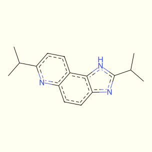 CC(C)c1ccc2c(ccc3nc(C(C)C)[nH]c32)n1